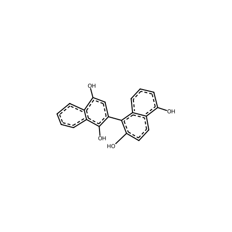 Oc1ccc2c(O)cccc2c1-c1cc(O)c2ccccc2c1O